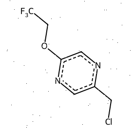 FC(F)(F)COc1cnc(CCl)cn1